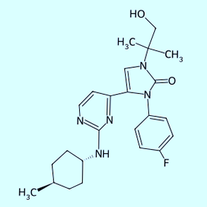 CC(C)(CO)n1cc(-c2ccnc(N[C@H]3CC[C@H](C)CC3)n2)n(-c2ccc(F)cc2)c1=O